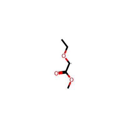 CCO[CH]C(=O)OC